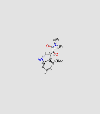 COc1cc(C)cc2[nH]cc(C(=O)C(=O)N(C(C)C)C(C)C)c12